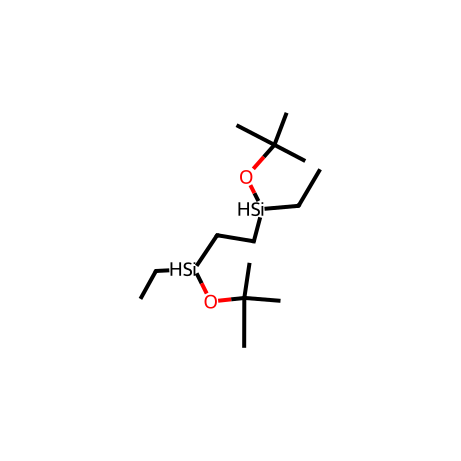 CC[SiH](CC[SiH](CC)OC(C)(C)C)OC(C)(C)C